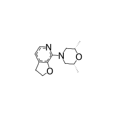 C[C@@H]1CN(c2nccc3c2OCC3)C[C@H](C)O1